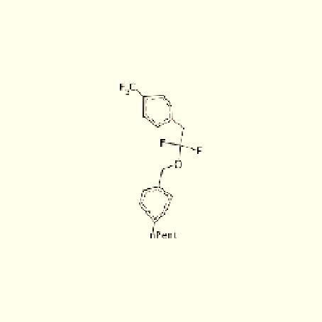 CCCCCc1ccc(COC(F)(F)Cc2ccc(C(F)(F)F)cc2)cc1